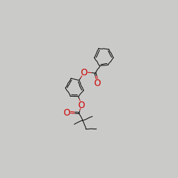 CCC(C)(C)C(=O)Oc1cccc(OC(=O)c2ccccc2)c1